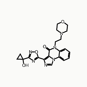 O=c1c2c(-c3nc(C4(O)CC4)no3)ncn2c2ccccc2n1CCN1CCOCC1